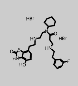 Br.Br.O=C(CCNCCc1cccc(F)c1)N(CCNCCc1ccc(O)c2[nH]c(=O)sc12)C1CCCCC1